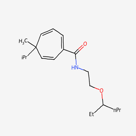 CCCC(CC)OCCNC(=O)C1=CC=CC(C)(C(C)C)C=C1